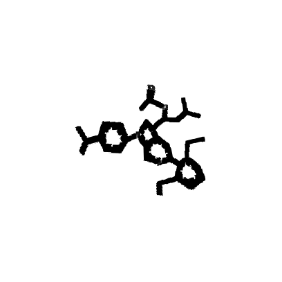 CCc1cccc(CC)c1-c1cc2c(C(CC(C)C)OC(C)=O)cn(-c3ccc(C(C)C)cc3)c2cn1